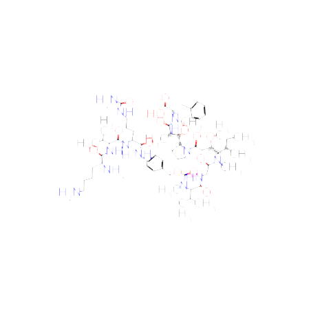 CC[C@H](C)[C@@H]([C@@H](CC(=O)N1CCC[C@H]1[C@H](OC)[C@@H](C)C(=O)N[C@@H](Cc1ccccc1)C(=O)O)OC)N(C)C(=O)CNC(=O)C(C(C)C)N(C)C(=O)OCc1ccc(NC(=O)C(CCCNC(N)=O)NC(=O)C(NC(=O)C(N)CCCCN)C(C)C)cc1